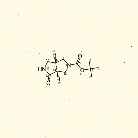 CC(C)(C)OC(=O)N1C[C@H]2CNC(=O)[C@H]2C1